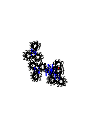 c1ccc(-c2nc(-c3ccc4c5c(-c6cccc7c6c6ccccc6n7-c6ccccc6)cccc5n(-c5ccccc5)c4c3)nc(-c3cccc4c5ccccc5n(-c5ccccc5)c34)n2)cc1